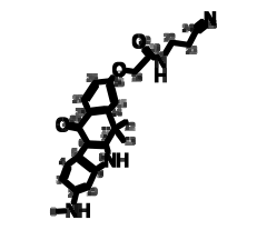 CNc1ccc2c3c([nH]c2c1)C(C)(C)c1cc(OCC(=O)NCCC#N)ccc1C3=O